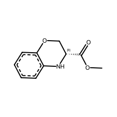 COC(=O)[C@H]1COc2ccccc2N1